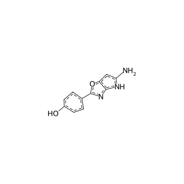 Nc1cc2oc(-c3ccc(O)cc3)nc2[nH]1